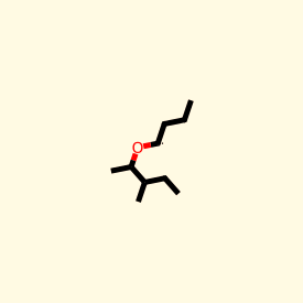 CCC[CH]OC(C)C(C)CC